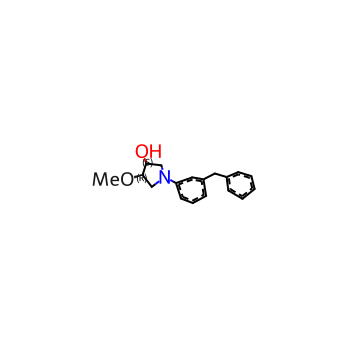 CO[C@@H]1CN(c2cccc(Cc3ccccc3)c2)C[C@@H]1O